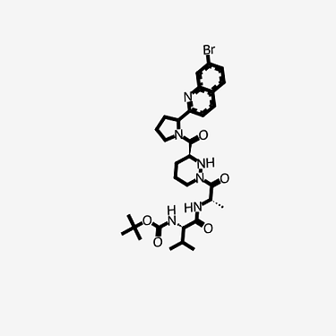 CC(C)[C@H](NC(=O)OC(C)(C)C)C(=O)N[C@@H](C)C(=O)N1CCC[C@@H](C(=O)N2CCCC2c2ccc3ccc(Br)cc3n2)N1